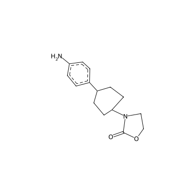 Nc1ccc(C2CCC(N3CCOC3=O)CC2)cc1